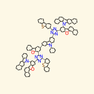 c1ccc(-n2c3ccc(-c4nc(-c5cc(-n6c7cc8ccccc8cc7c7ccc8ccccc8c76)c6c(c5)oc5c7ccccc7ccc56)nc(-c5ccc6c(c5)sc5ccccc56)n4)cc3c3ccc(-c4cc(-c5nc(-c6cc(-n7c8ccccc8c8cc9ccccc9cc87)c7c(c6)oc6c8ccccc8ccc67)nc(-c6cccc7c6sc6ccccc67)n5)c5oc6ccccc6c5c4)cc32)cc1